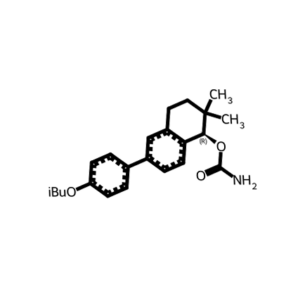 CC(C)COc1ccc(-c2ccc3c(c2)CCC(C)(C)[C@H]3OC(N)=O)cc1